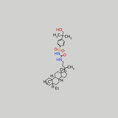 CC[C@H]1C[C@H]2C3CCC([C@H](C)CCNC(=O)NS(=O)(=O)c4ccc(C(C)(C)CO)cc4)[C@@]3(C)CC[C@@H]2[C@@]2(C)CCCC[C@@H]12